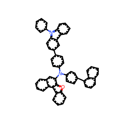 c1ccc(-n2c3ccccc3c3cc(-c4ccc(N(c5ccc(-c6cccc7ccccc67)cc5)c5cc6ccccc6c6c5oc5ccccc56)cc4)ccc32)cc1